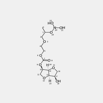 CC(COCCOC(=O)O[C@@H]1CO[C@H]2[C@@H]1OC[C@H]2O)ON(O)O